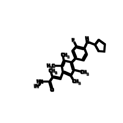 C/C(=C\c1c(C)c(C)c(-c2ccc(NC3CCCC3)c(F)c2)c(C)c1C)C(=O)NC(C)C